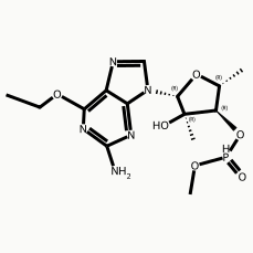 CCOc1nc(N)nc2c1ncn2[C@@H]1O[C@H](C)[C@@H](O[PH](=O)OC)[C@@]1(C)O